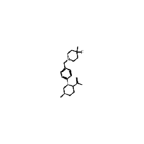 C=C(C)C1CCC(C)C[C@H]1c1ccc(CN2CCC(C)(F)CC2)cc1